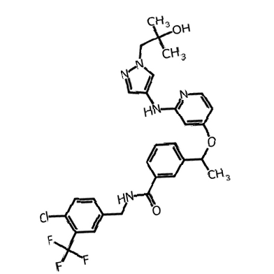 CC(Oc1ccnc(Nc2cnn(CC(C)(C)O)c2)c1)c1cccc(C(=O)NCc2ccc(Cl)c(C(F)(F)F)c2)c1